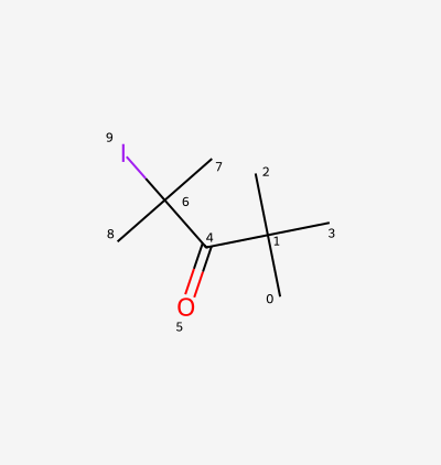 CC(C)(C)C(=O)C(C)(C)I